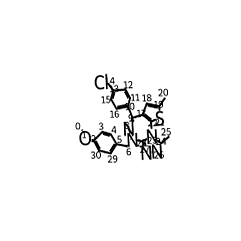 COc1ccc(CN2N=C(c3ccc(Cl)cc3)c3cc(C)sc3-n3c(C)nnc32)cc1